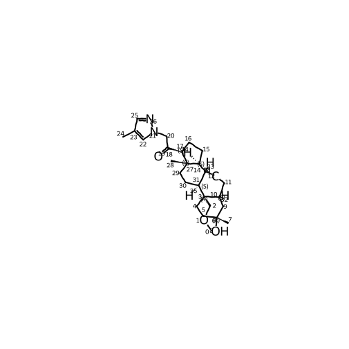 COC[C@]12CC[C@@](C)(O)C[C@@H]1CC[C@H]1[C@@H]3CC[C@H](C(=O)Cn4cc(C)cn4)[C@@]3(C)CC[C@@H]12